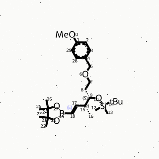 COc1ccc(COCC[C@H](O[Si](C)(C)C(C)(C)C)[C@H](C)/C=C/B2OC(C)(C)C(C)(C)O2)cc1